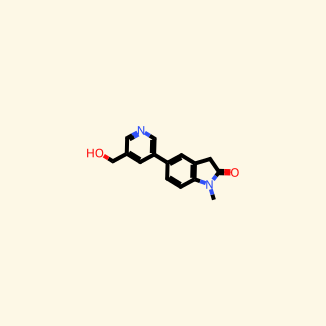 CN1C(=O)Cc2cc(-c3cncc(CO)c3)ccc21